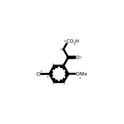 COc1ccc(Cl)cc1C(=O)CC(=O)O